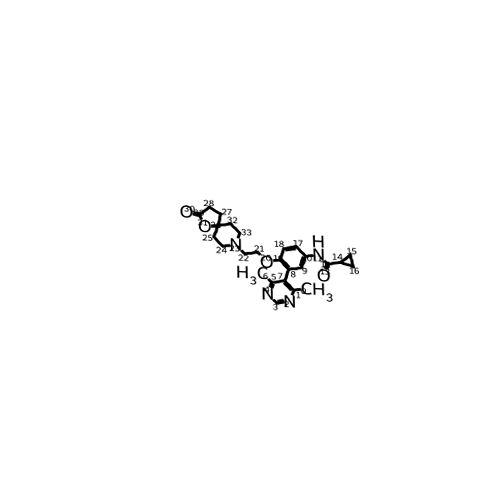 Cc1ncnc(C)c1-c1cc(NC(=O)C2CC2)ccc1OCCN1CCC2(CCC(=O)O2)CC1